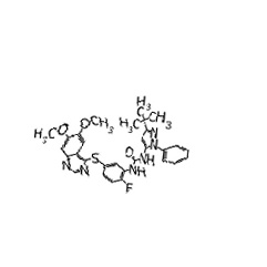 COc1cc2ncnc(Sc3ccc(F)c(NC(=O)Nc4cc(C(C)(C)C)nn4-c4ccccc4)c3)c2cc1OC